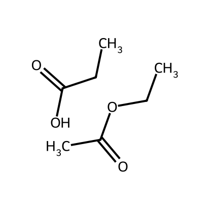 CCC(=O)O.CCOC(C)=O